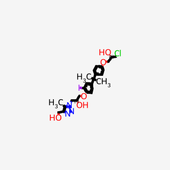 Cc1c(CO)nnn1C[C@@H](O)COc1ccc(C(C)(C)c2ccc(OC[C@H](O)CCl)cc2)cc1I